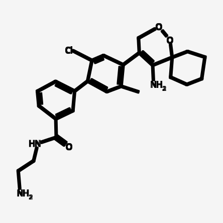 Cc1cc(-c2cccc(C(=O)NCCN)c2)c(Cl)cc1C1=C(N)C2(CCCCC2)OOC1